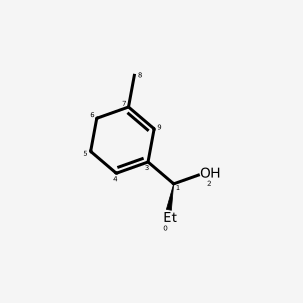 CC[C@H](O)C1=CCCC(C)=C1